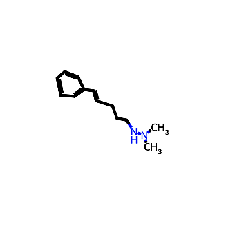 CN(C)NCCCC=Cc1ccccc1